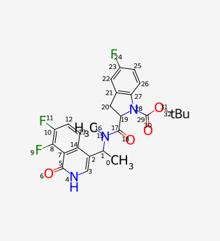 CC(c1c[nH]c(=O)c2c(F)c(F)ccc12)N(C)C(=O)C1Cc2cc(F)ccc2N1C(=O)OC(C)(C)C